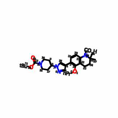 CCCOc1c(-c2cnn(C3CCN(C(=O)OC(C)(C)C)CC3)c2)ccc2c1CCC(C)(C)N2C(=O)O